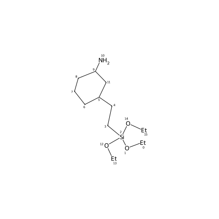 CCO[Si](CCC1CCCC(N)C1)(OCC)OCC